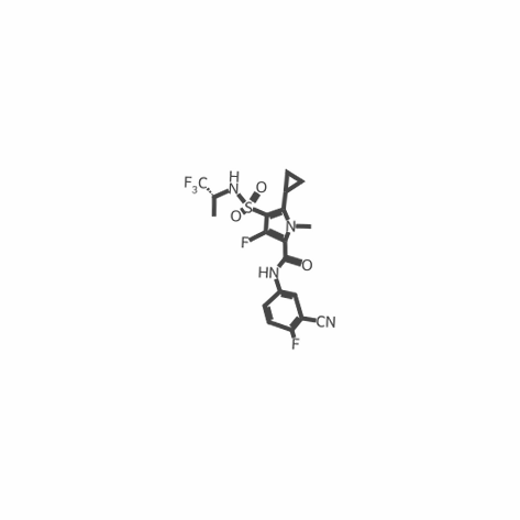 C[C@@H](NS(=O)(=O)c1c(F)c(C(=O)Nc2ccc(F)c(C#N)c2)n(C)c1C1CC1)C(F)(F)F